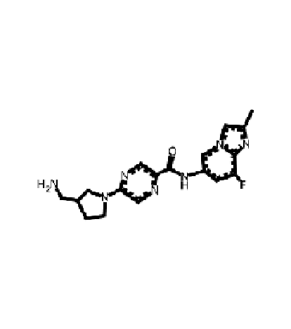 Cc1cn2cc(NC(=O)c3cnc(N4CCC(CN)C4)cn3)cc(F)c2n1